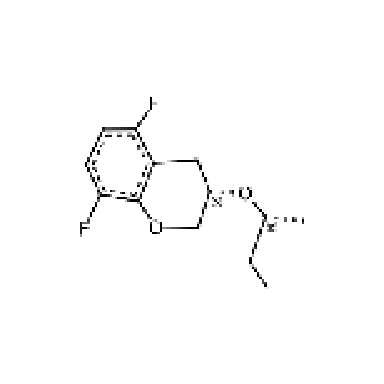 CC[C@@H](C)O[C@@H]1COc2c(F)ccc(F)c2C1